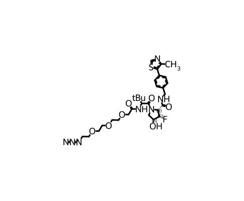 Cc1ncsc1-c1ccc(CNC(=O)[C@@H]2[C@H](F)[C@@H](O)CN2C(=O)C(NC(=O)COCCOCCOCCN=[N+]=[N-])C(C)(C)C)cc1